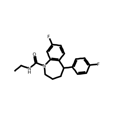 CCNC(=O)N1CCCC(c2ccc(F)cc2)c2ccc(F)cc21